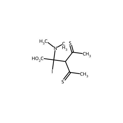 CC(=S)C(C(C)=S)C(I)(C(=O)O)N(C)C